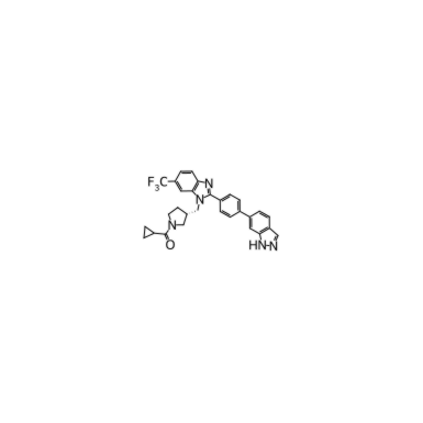 O=C(C1CC1)N1CC[C@H](Cn2c(-c3ccc(-c4ccc5cn[nH]c5c4)cc3)nc3ccc(C(F)(F)F)cc32)C1